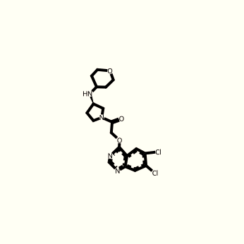 O=C(COc1ncnc2cc(Cl)c(Cl)cc12)N1CC[C@@H](NC2CCOCC2)C1